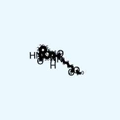 CCOC(=O)CCCCCNC(=O)c1cc(C)c(C=C2C(=O)Nc3ccccc32)[nH]1